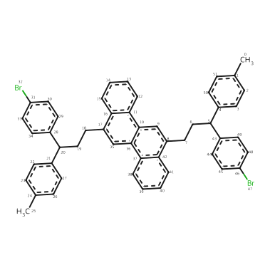 Cc1ccc(C(CCc2cc3c4ccccc4c(CCC(c4ccc(C)cc4)c4ccc(Br)cc4)cc3c3ccccc23)c2ccc(Br)cc2)cc1